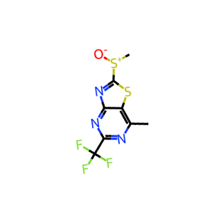 Cc1nc(C(F)(F)F)nc2nc([S+](C)[O-])sc12